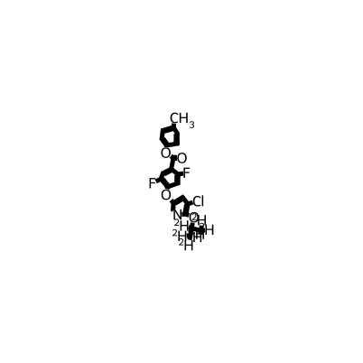 [2H]C([2H])([2H])C([2H])(Oc1ncc(Oc2cc(F)c(C(=O)Oc3ccc(C)cc3)cc2F)cc1Cl)C([2H])([2H])[2H]